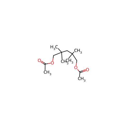 CC(=O)OCC(C)(C)CC(C)(C)COC(C)=O